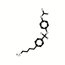 CCCCCc1ccc(C(F)(F)Oc2ccc(OC(F)F)cc2)cc1